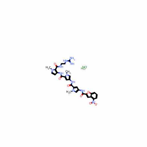 Cl.Cl.Cn1cc(NC(=O)c2cc3c([N+](=O)[O-])cccc3o2)cc1C(=O)Nc1cc(C(=O)Nc2ccn(C)c2C(=O)NCCNC(=N)N)n(C)c1